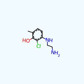 Cc1ccc(NCCN)c(Cl)c1O